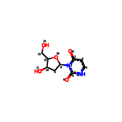 O=c1cc[nH]c(=O)n1[C@H]1C[C@@H](O)C(CO)O1